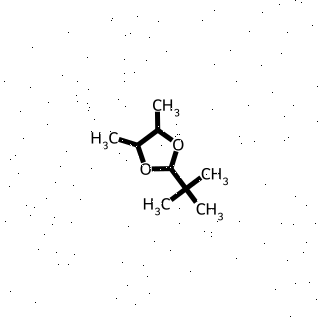 CC1OC(C(C)(C)C)OC1C